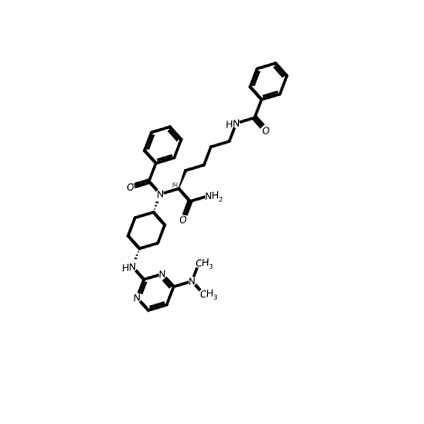 CN(C)c1ccnc(N[C@H]2CC[C@@H](N(C(=O)c3ccccc3)[C@@H](CCCCNC(=O)c3ccccc3)C(N)=O)CC2)n1